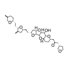 C=C1CC[C@H](CC[C@@H]2O[C@@H](CC[C@@H]3C[C@H]4O[C@@H]5C(O[C@H]6CC[C@H](CC(=O)C[C@@H]7CCOC7)OC6[C@@H]5O)C4O3)CC2=C)OC1